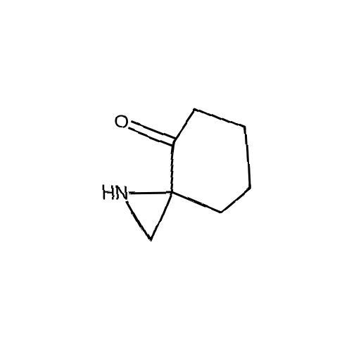 O=C1CCCCC12CN2